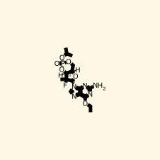 CCOc1nc(N)nc2c1ncn2[C@@H]1O[C@@H]2COP(=O)(OC(C)C)O[C@@H]2C1(C)F